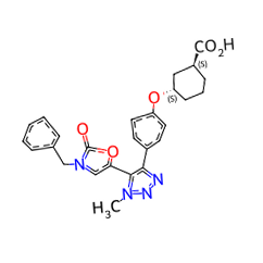 Cn1nnc(-c2ccc(O[C@H]3CCC[C@H](C(=O)O)C3)cc2)c1-c1cn(Cc2ccccc2)c(=O)o1